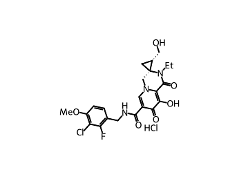 CCN1C(=O)c2c(O)c(=O)c(C(=O)NCc3ccc(OC)c(Cl)c3F)cn2C[C@@]12C[C@@H]2CO.Cl